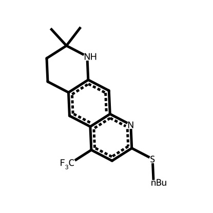 CCCCSc1cc(C(F)(F)F)c2cc3c(cc2n1)NC(C)(C)CC3